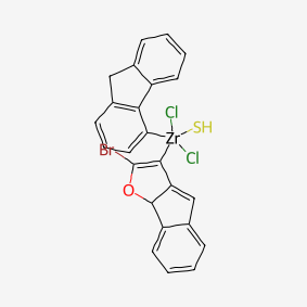 [SH][Zr]([Cl])([Cl])([C]1=C(Br)OC2C1=Cc1ccccc12)[c]1cccc2c1-c1ccccc1C2